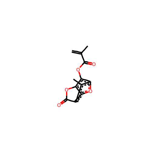 C=C(C)C(=O)Oc1c2c3oc1c(C)c3C(=O)O2